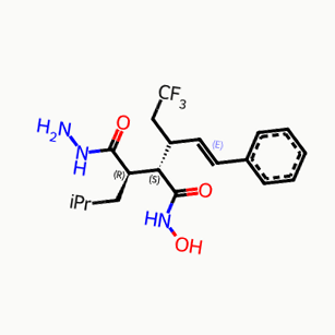 CC(C)C[C@@H](C(=O)NN)[C@@H](C(=O)NO)C(/C=C/c1ccccc1)CC(F)(F)F